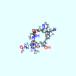 C=CC(=O)N1CC[C@H](C(=O)N(C)C(C(=O)N[C@H]2Cc3cc(O)cc(c3)-c3ccc4c(c3)c(c(-c3cccnc3)n4C(C)(C)C#N)CC(C)(C)COC(=O)[C@@H]3CCCN(N3)C2=O)C(C)C)C1